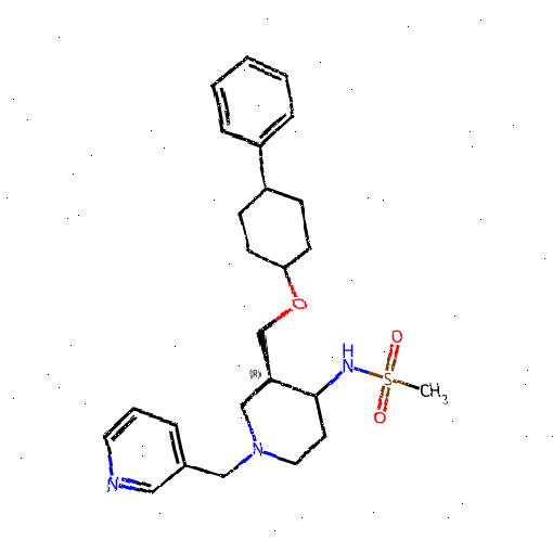 CS(=O)(=O)NC1CCN(Cc2cccnc2)C[C@H]1COC1CCC(c2ccccc2)CC1